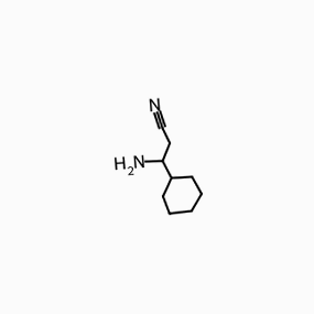 N#CCC(N)C1CCCCC1